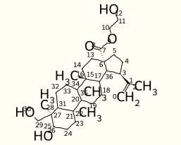 C=C(C)[C@@H]1CC[C@]2(C(=O)OCCO)CC[C@]3(C)C(CCC4[C@@]5(C)CC[C@H](O)[C@@](C)(CO)C5CC[C@]43C)C12